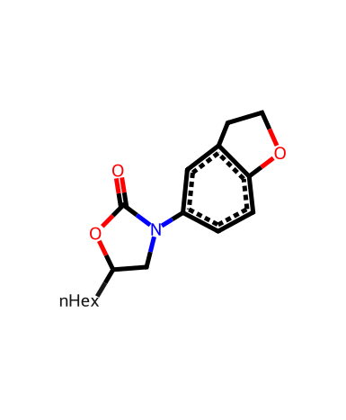 CCCCCCC1CN(c2ccc3c(c2)CCO3)C(=O)O1